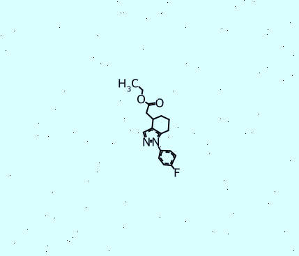 CCOC(=O)CC1CCCc2c1cnn2-c1ccc(F)cc1